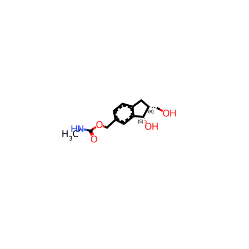 CNC(=O)OCc1ccc2c(c1)[C@@H](O)[C@@H](CO)C2